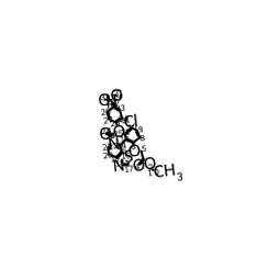 CCOC(=O)COc1ccc(Cl)cc1C1c2scnc2CCN1C(=O)Oc1ccc([N+](=O)[O-])cc1